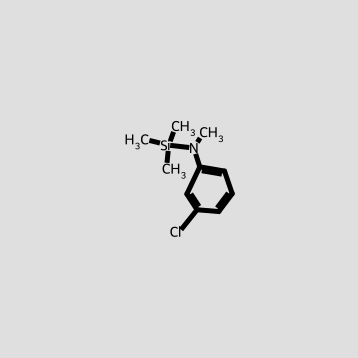 CN(c1cccc(Cl)c1)[Si](C)(C)C